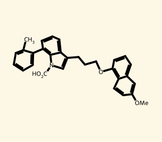 COc1ccc2c(OCCCc3cn(C(=O)O)c4c(-c5ccccc5C)cccc34)cccc2c1